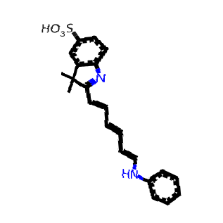 CC1(C)C(/C=C/C=C/C=C/Nc2ccccc2)=Nc2ccc(S(=O)(=O)O)cc21